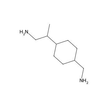 CC(CN)C1CCC(CN)CC1